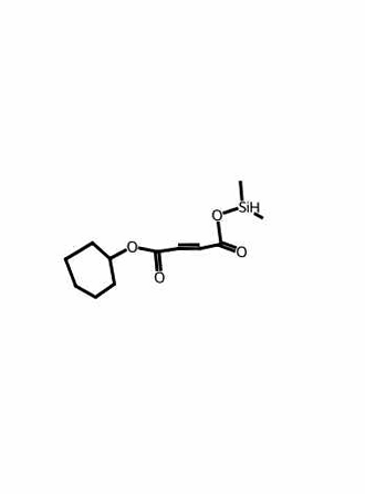 C[SiH](C)OC(=O)/C=C/C(=O)OC1CCCCC1